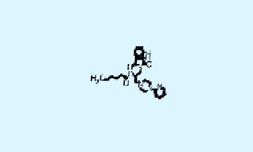 CCCCCC(=O)OC(CN1CCN(c2ccccn2)CC1)CN1C(=O)C2C3C=C[C@@H](C3)[C@@H]2C1=O